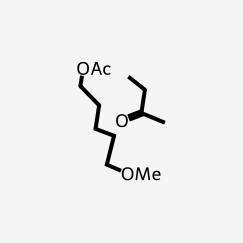 CCC(C)=O.COCCCCCOC(C)=O